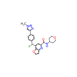 Cn1cc(-c2ccc(C(F)c3cc(C(=O)NC4CCOCC4)nc4ccoc34)cc2)nn1